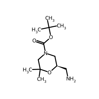 CC(C)(C)OC(=O)N1C[C@@H](CN)OC(C)(C)C1